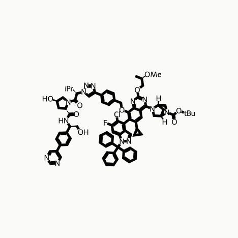 CO[C@@H](C)COc1nc(N2C[C@@H]3C[C@H]2CN3C(=O)OC(C)(C)C)c2cc(C3CC3)c(-c3c(Cl)c(F)cc4c3cnn4C(c3ccccc3)(c3ccccc3)c3ccccc3)c(OCc3ccc(-c4cn([C@H](C(=O)N5C[C@H](O)C[C@H]5C(=O)N[C@@H](CO)c5ccc(-c6cncnc6)cc5)C(C)C)nn4)cc3)c2n1